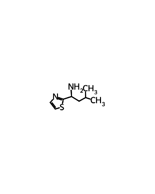 CC(C)CC(N)c1nccs1